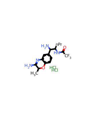 CCCC(NC(=O)C(F)(F)F)C(N)c1ccc2c(c1)N=C(N)C(C)O2.Cl.Cl